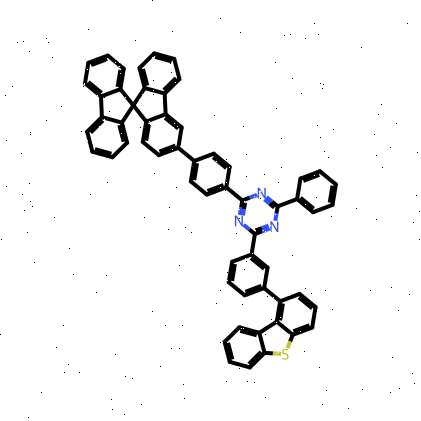 c1ccc(-c2nc(-c3ccc(-c4ccc5c(c4)-c4ccccc4C54c5ccccc5-c5ccccc54)cc3)nc(-c3cccc(-c4cccc5sc6ccccc6c45)c3)n2)cc1